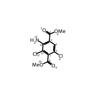 COC(=O)c1cc(Cl)c(C(=O)OC)c(Cl)c1N